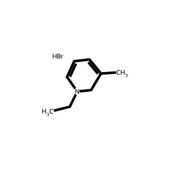 Br.CCN1C=CC=C(C)C1